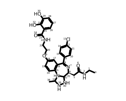 CCNC(=O)C[C@@H]1N=C(c2ccc(Cl)cc2)c2cc(OCCNC(=O)c3cccc(O)c3O)ccc2N2C(C)NNC12